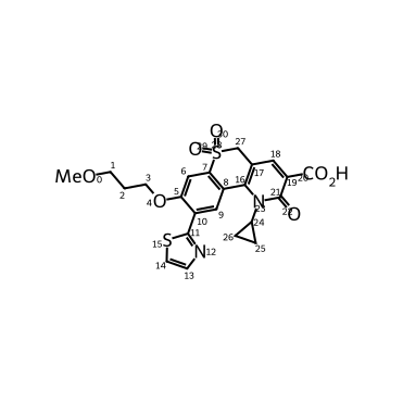 COCCCOc1cc2c(cc1-c1nccs1)-c1c(cc(C(=O)O)c(=O)n1C1CC1)CS2(=O)=O